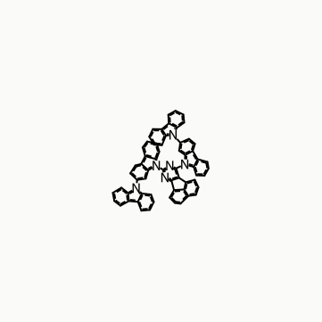 c1cc2c3c(cccc3c1)-c1c-2nc(-n2c3ccccc3c3ccc(-n4c5ccccc5c5ccccc54)cc32)nc1-n1c2ccccc2c2ccc(-n3c4ccccc4c4ccccc43)cc21